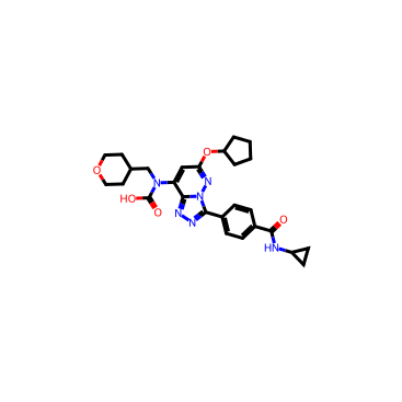 O=C(NC1CC1)c1ccc(-c2nnc3c(N(CC4CCOCC4)C(=O)O)cc(OC4CCCC4)nn23)cc1